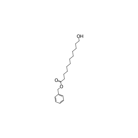 O=C(CCCCCCCCCCCO)OCc1ccccc1